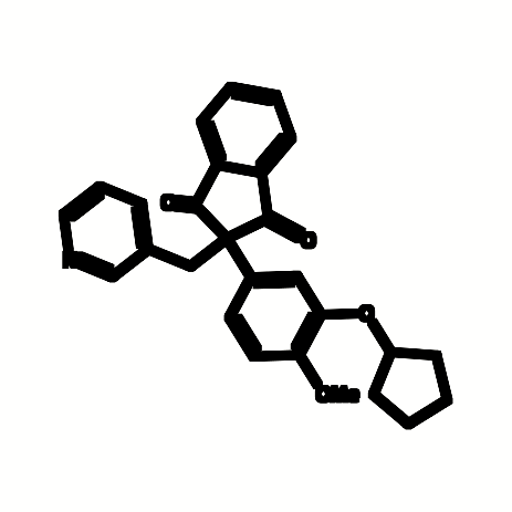 COc1ccc(C2(Cc3cccnc3)C(=O)c3ccccc3C2=O)cc1OC1CCCC1